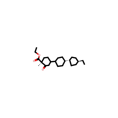 CCOC(=O)[C@@]1(C)CCC(C2CCC([C@H]3CC[C@H](CC)CC3)CC2)CC1=O